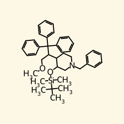 COCC(C1CCN(Cc2ccccc2)CC1O[Si](C)(C)C(C)(C)C)C(c1ccccc1)(c1ccccc1)c1ccccc1